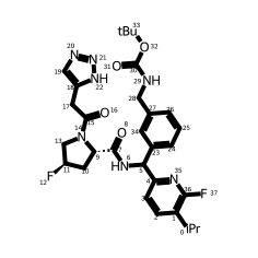 CC(C)c1ccc(C(NC(=O)[C@@H]2C[C@@H](F)CN2C(=O)Cc2cnn[nH]2)c2cccc(CNC(=O)OC(C)(C)C)c2)nc1F